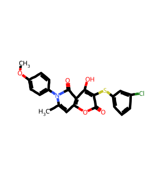 COc1ccc(-n2c(C)cc3oc(=O)c(Sc4cccc(Cl)c4)c(O)c3c2=O)cc1